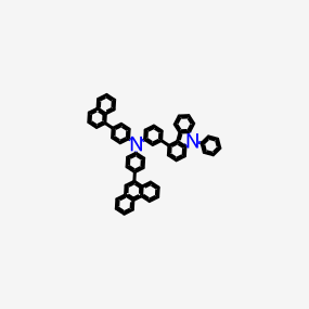 c1ccc(-n2c3ccccc3c3c(-c4cccc(N(c5ccc(-c6cccc7ccccc67)cc5)c5ccc(-c6cc7ccccc7c7ccccc67)cc5)c4)cccc32)cc1